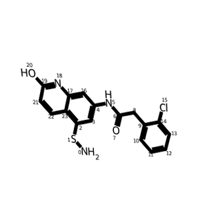 NSc1cc(NC(=O)Cc2ccccc2Cl)cc2nc(O)ccc12